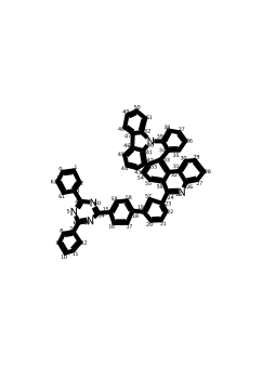 c1ccc(-c2nc(-c3ccccc3)nc(-c3ccc(-c4cccc(-c5nc6ccccc6c6c(-c7ccccc7-n7c8ccccc8c8ccccc87)cccc56)c4)cc3)n2)cc1